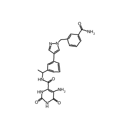 CC(NC(=O)c1[nH]c(=O)[nH]c(=O)c1N)c1cccc(-c2cnn(Cc3cccc(C(N)=O)c3)c2)c1